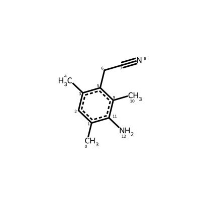 Cc1cc(C)c(CC#N)c(C)c1N